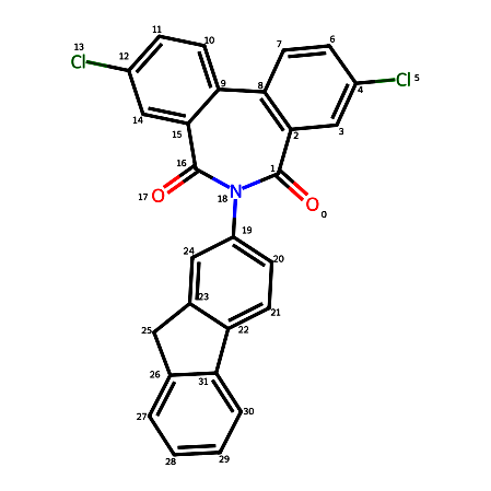 O=c1c2cc(Cl)ccc2c2ccc(Cl)cc2c(=O)n1-c1ccc2c(c1)Cc1ccccc1-2